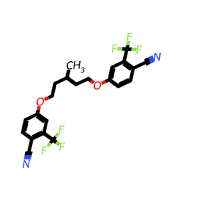 CC(CCOc1ccc(C#N)c(C(F)(F)F)c1)CCOc1ccc(C#N)c(C(F)(F)F)c1